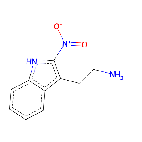 NCCc1c([N+](=O)[O-])[nH]c2ccccc12